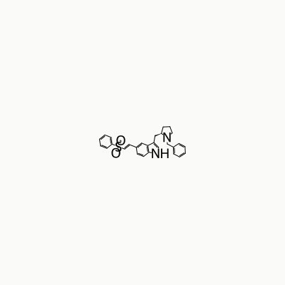 O=S(=O)(/C=C/c1ccc2[nH]cc(C[C@H]3CCCN3Cc3ccccc3)c2c1)c1ccccc1